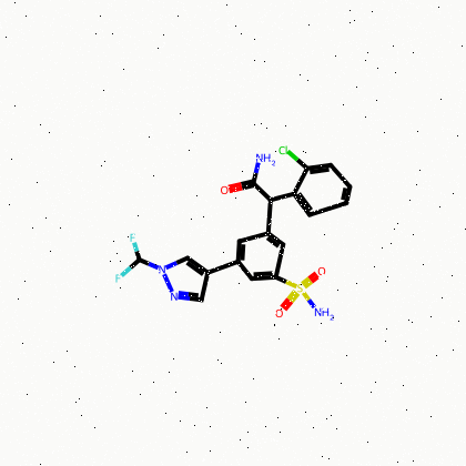 NC(=O)C(c1cc(-c2cnn(C(F)F)c2)cc(S(N)(=O)=O)c1)c1ccccc1Cl